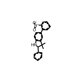 CC1(C)c2cc(-c3ccccc3[N+](=O)[O-])ccc2NC1c1ccccc1